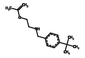 C=C(C)OCCNCc1ccc(C(C)(C)C)cc1